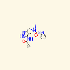 O=C(Nc1ccccc1)NN1CCc2n[nH]c(NC(=O)C3CC3)c2C1